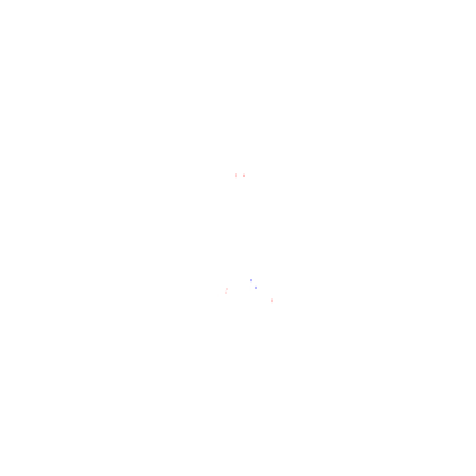 O=[N+]([O-])C1=CC(O)(C2CC2)CC=C1